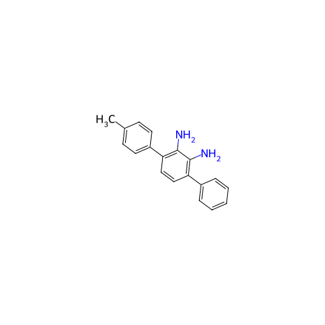 Cc1ccc(-c2ccc(-c3ccccc3)c(N)c2N)cc1